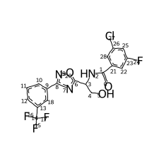 O=C(NC(CO)c1nc(-c2cccc(C(F)(F)F)c2)no1)c1cc(F)cc(Cl)c1